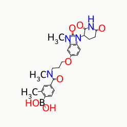 Cc1cc(C(=O)N(C)CCCOc2ccc3c(c2)n(C)c(=O)n3C2CCC(=O)NC2=O)ccc1B(O)O